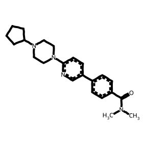 CN(C)C(=O)c1ccc(-c2ccc(N3CCN(C4CCCC4)CC3)nc2)cc1